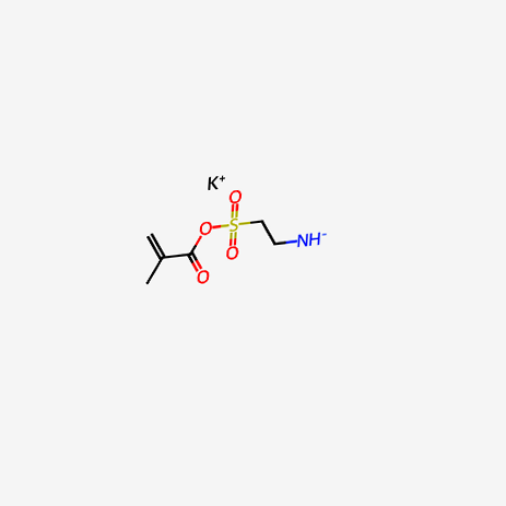 C=C(C)C(=O)OS(=O)(=O)CC[NH-].[K+]